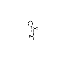 O=C(OCC(F)F)[C@@H]1C=CCC1